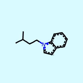 CC(C)CCn1c[c]c2ccccc21